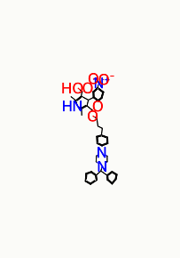 CC1=C(C(=O)O)C(c2cccc([N+](=O)[O-])c2)C(C(=O)OCCCc2ccc(N3CCN(C(c4ccccc4)c4ccccc4)CC3)cc2)=C(C)N1